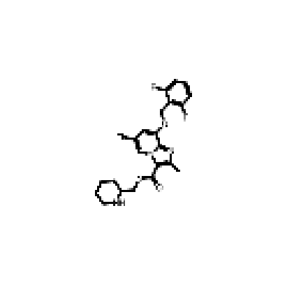 Cc1nc2c(OCc3c(F)cccc3F)cc(Cl)cn2c1C(=O)NCC1CCCCN1